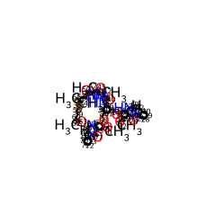 COc1cc2c(cc1OCc1cc(COc3cc4c(cc3OC)C(=O)N3c5ccccc5C[C@H]3CN4)cc(NC(=O)[C@@H](C)NC(=O)[C@H](C)NC(=O)CCC(C)(C)SSCCCC(C)=O)c1)N=C[C@@H]1Cc3ccccc3N1C2=O